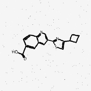 O=C(O)c1ccc2ncc(-c3nc(C4CCC4)cs3)cc2c1